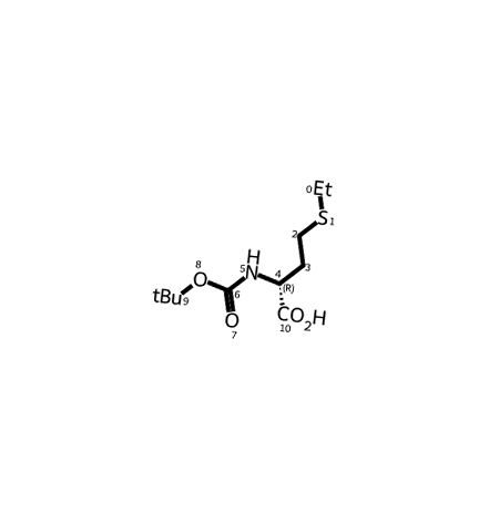 CCSCC[C@@H](NC(=O)OC(C)(C)C)C(=O)O